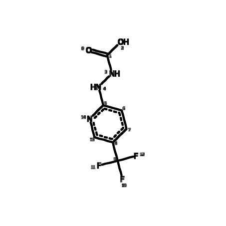 O=C(O)NNc1ccc(C(F)(F)F)cn1